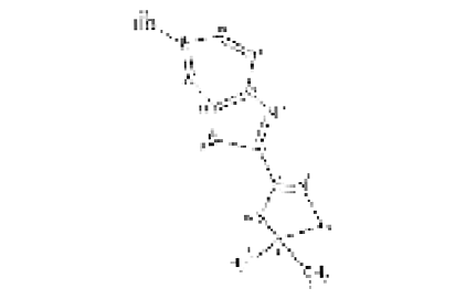 CC1(C)CN=C(c2nc3ccc(O)cc3s2)S1